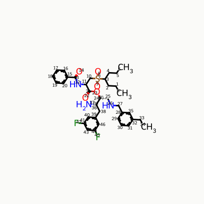 CCCC(CCC)S(=O)(=O)CC(NC(=O)c1ccccc1)C(=O)O[C@H](CNCc1cccc(CC)c1)[C@@H](N)Cc1cc(F)cc(F)c1